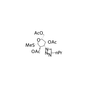 CCCc1cn([C@H]2[C@@H](OC(C)=O)[C@@H](COC(C)=O)O[C@@H](SC)[C@@H]2OC(C)=O)nn1